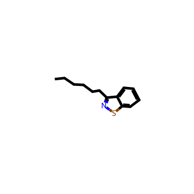 CCCCCCc1nsc2ccccc12